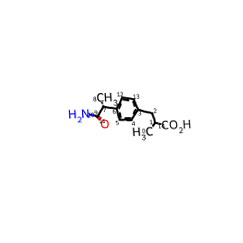 CC(Cc1ccc([C@@H](C)C(N)=O)cc1)C(=O)O